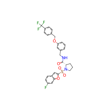 O=C(NCc1cccc(OCc2ccc(C(F)(F)F)cc2)c1)[C@@H]1CCCN1S(=O)(=O)c1cc2ccc(F)cc2o1